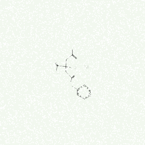 N.O=C(O)CC(O)(CC(=O)Oc1ccccc1)C(=O)O